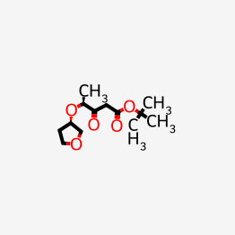 C[C@H](O[C@@H]1CCOC1)C(=O)CC(=O)OC(C)(C)C